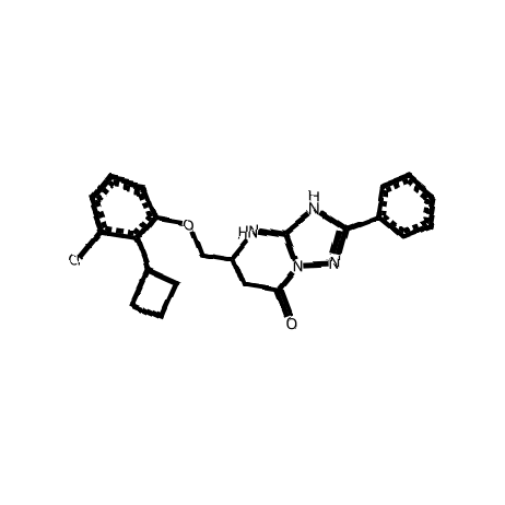 O=C1CC(COc2cccc(Cl)c2C2CCC2)NC2NC(c3ccccc3)=NN12